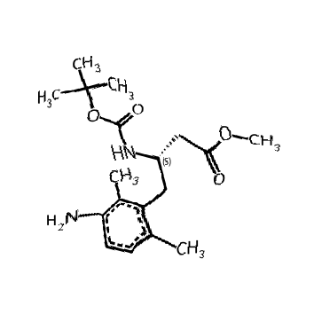 COC(=O)C[C@H](Cc1c(C)ccc(N)c1C)NC(=O)OC(C)(C)C